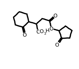 O=C(CC(C(=O)O)C1CCCCC1=O)OC1CCCC1=O